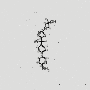 CC(C)C(C)(c1ccc(-c2cnc(N)nc2)cc1)c1noc(N2CC(C)(O)C2)n1